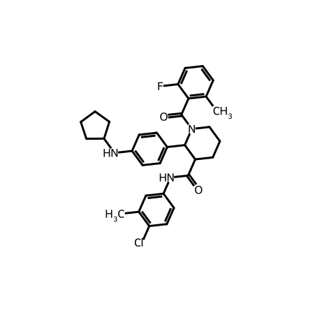 Cc1cc(NC(=O)C2CCCN(C(=O)c3c(C)cccc3F)C2c2ccc(NC3CCCC3)cc2)ccc1Cl